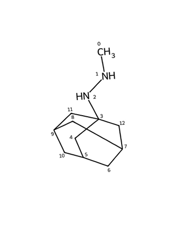 CNNC12CC3CC(CC(C3)C1)C2